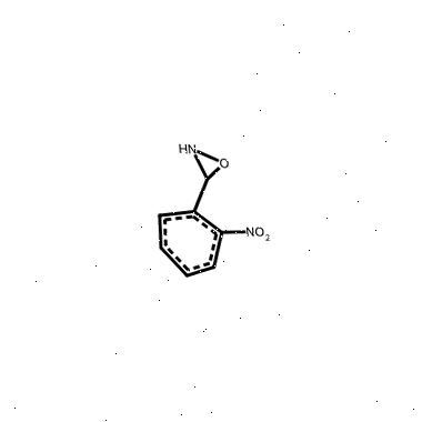 O=[N+]([O-])c1ccccc1C1NO1